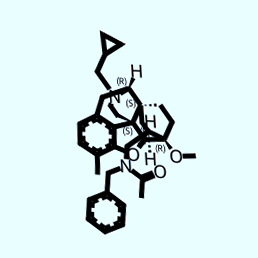 CO[C@]12CC[C@@]3(C[C@@H]1CN(Cc1ccccc1)C(C)=O)[C@H]1Cc4ccc(C)c5c4[C@@]3(CCN1CC1CC1)[C@H]2O5